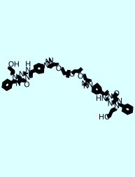 CC(COC(C)(C)CCOCc1cn(-c2ccc(-c3cn4c(=O)c5nc(-c6ccccc6)n(C=CCO)c5nc4[nH]3)cc2)nn1)OCc1cn(-c2ccc(-c3cn4c(=O)c5nc(-c6ccccc6)n(C=CCO)c5nc4[nH]3)cc2)nn1